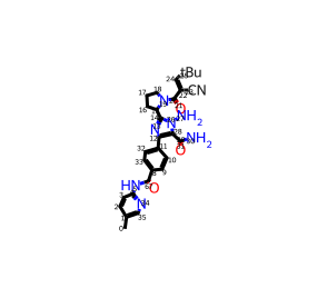 Cc1ccc(NC(=O)c2ccc(-c3nc(C4CCCN4C(=O)C(C#N)=CC(C)(C)C)n(N)c3C(N)=O)cc2)nc1